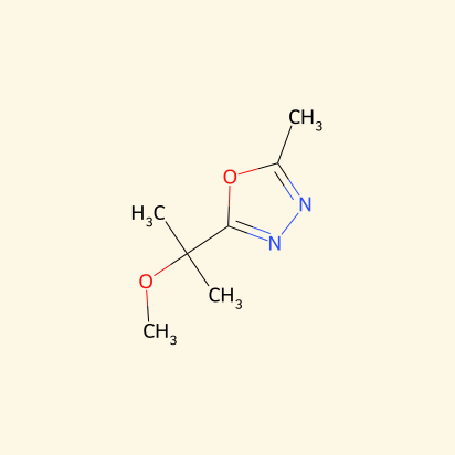 COC(C)(C)c1nnc(C)o1